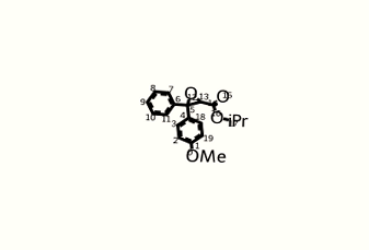 COc1ccc(C2(c3ccccc3)OC2C(=O)OC(C)C)cc1